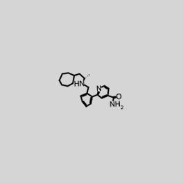 C[C@@H](CC1CCCCCC1)NCc1ccccc1-c1cc(C(N)=O)ccn1